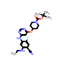 CCNc1cc(Nc2cc(OC3CCN(C(=O)OC(C)(C)C)CC3)ncn2)c(F)cc1C#N